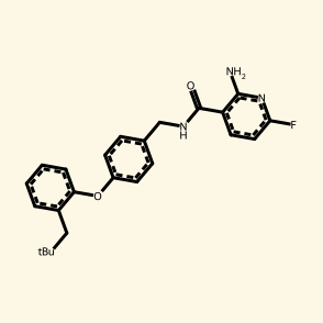 CC(C)(C)Cc1ccccc1Oc1ccc(CNC(=O)c2ccc(F)nc2N)cc1